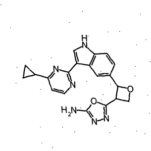 Nc1nnc(C2COC2c2ccc3[nH]cc(-c4nccc(C5CC5)n4)c3c2)o1